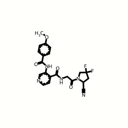 COc1ccc(C(=O)Nc2cnccc2C(=O)NCC(=O)N2CC(F)(F)CC2C#N)cc1